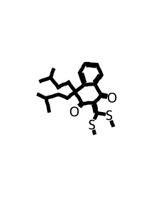 CSC(SC)=C1C(=O)c2ccccc2C(CCC(C)C)(CCC(C)C)C1=O